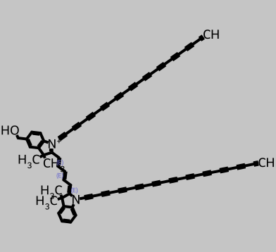 C#CC#CC#CC#CC#CC#CC#CC#CC#CC#CC#CN1/C(=C/C=C/C=C/C2=[N+](C#CC#CC#CC#CC#CC#CC#CC#CC#CC#CC#C)c3ccc(CO)cc3C2(C)C)C(C)(C)c2ccccc21